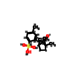 CC12CCC(CC1=O)C2(C)C.Cc1ccc(S(=O)(=O)O)cc1